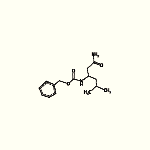 CC(C)CC(CC(N)=O)NC(=O)OCc1ccccc1